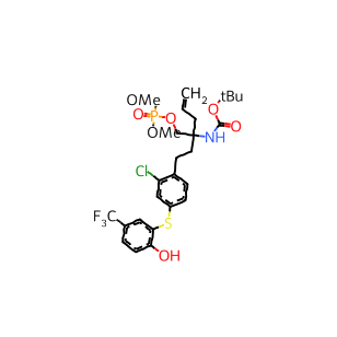 C=CCC(CCc1ccc(Sc2cc(C(F)(F)F)ccc2O)cc1Cl)(COP(=O)(OC)OC)NC(=O)OC(C)(C)C